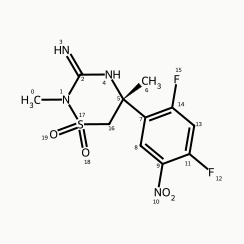 CN1C(=N)N[C@](C)(c2cc([N+](=O)[O-])c(F)cc2F)CS1(=O)=O